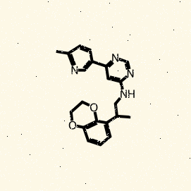 Cc1ccc(-c2cc(NCC(C)c3cccc4c3OCCO4)ncn2)cn1